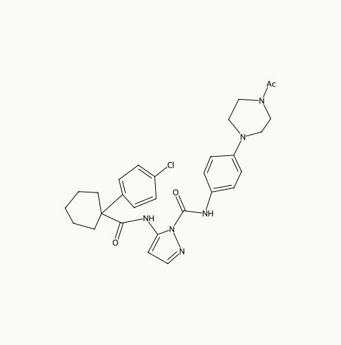 CC(=O)N1CCN(c2ccc(NC(=O)n3nccc3NC(=O)C3(c4ccc(Cl)cc4)CCCCC3)cc2)CC1